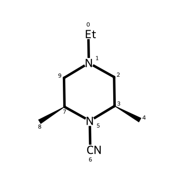 CCN1C[C@@H](C)N(C#N)[C@@H](C)C1